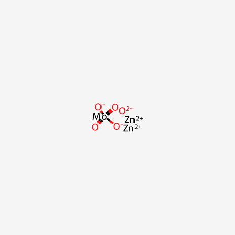 [O-2].[O]=[Mo](=[O])([O-])[O-].[Zn+2].[Zn+2]